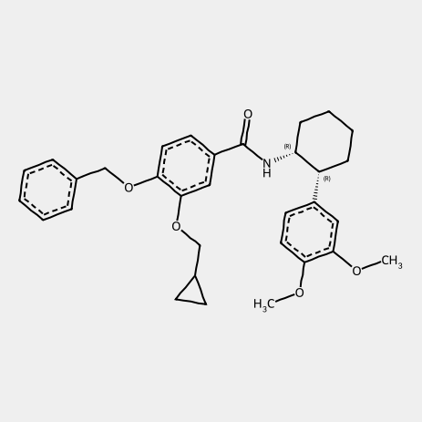 COc1ccc([C@H]2CCCC[C@H]2NC(=O)c2ccc(OCc3ccccc3)c(OCC3CC3)c2)cc1OC